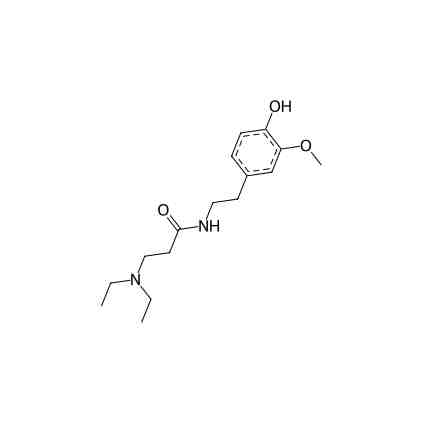 CCN(CC)CCC(=O)NCCc1ccc(O)c(OC)c1